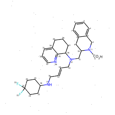 O=C(O)N1Cc2ccccc2CC1CN(C/C=C/CNC1CCC(F)(F)CC1)C1CCCc2cccnc21